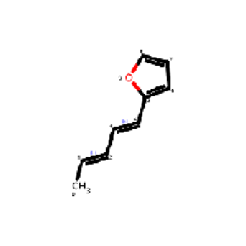 C/C=C/C=C/c1ccco1